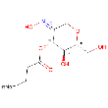 CCCCCCCCCCCC(=O)O[C@@H]1/C(=N\O)CO[C@H](CO)[C@H]1O